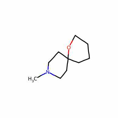 CN1CCC2(CCCCO2)CC1